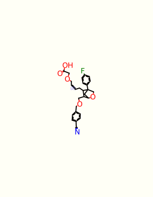 N#Cc1ccc(COCC2C3CC(c4ccc(F)cc4)(CO3)C2C/C=C\COCC(=O)O)cc1